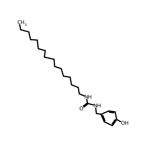 CCCCCCCCCCCCCCCCNC(=O)NCc1ccc(O)cc1